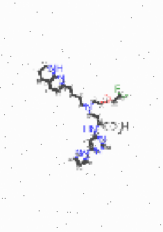 O=C(O)C(CCN(CCCCc1ccc2c(n1)NCCC2)CCOCC(F)F)Nc1cc(-n2cccn2)ncn1